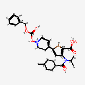 CC1CCC(C(=O)N(c2cc(C3=CCN(OC(=O)OCc4ccccc4)CC3)sc2C(=O)O)C(C)C)CC1